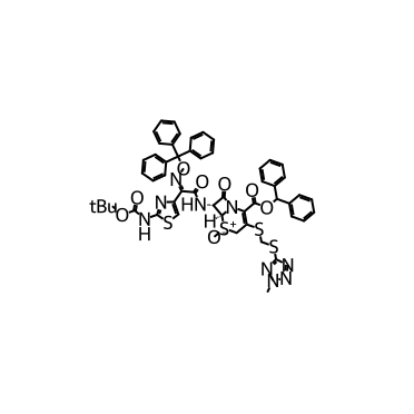 Cn1nnc(SCSC2=C(C(=O)OC(c3ccccc3)c3ccccc3)N3C(=O)[C@@H](NC(=O)/C(=N\OC(c4ccccc4)(c4ccccc4)c4ccccc4)c4csc(NC(=O)OC(C)(C)C)n4)[C@@H]3[S+]([O-])C2)n1